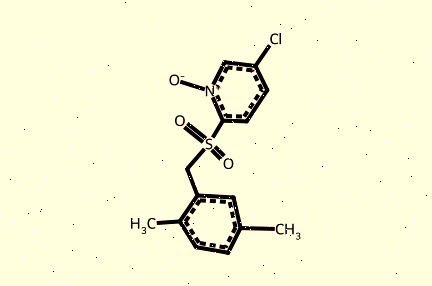 Cc1ccc(C)c(CS(=O)(=O)c2ccc(Cl)c[n+]2[O-])c1